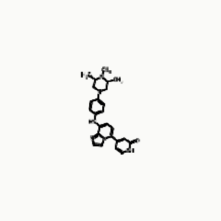 CC1CN(c2ccc(Nc3ccc(-c4cc[nH]c(=O)c4)n4ccnc34)cc2)C[C@@H](C)N1C